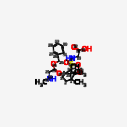 CC12CCC(C(S(=O)(=O)NCC(=O)O)C1=O)C2(C)C.CNCC(=O)OCc1ccccc1